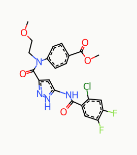 COCCN(C(=O)c1cc(NC(=O)c2cc(F)c(F)cc2Cl)[nH]n1)c1ccc(C(=O)OC)cc1